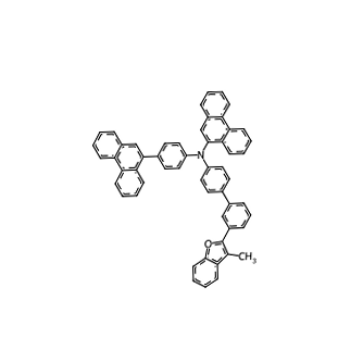 Cc1c(-c2cccc(-c3ccc(N(c4ccc(-c5cc6ccccc6c6ccccc56)cc4)c4cc5ccccc5c5ccccc45)cc3)c2)oc2ccccc12